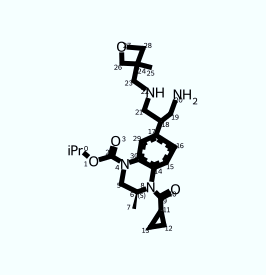 CC(C)OC(=O)N1C[C@H](C)N(C(=O)C2CC2)c2ccc(C(CN)CNCC3(C)COC3)cc21